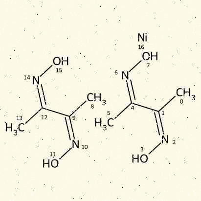 CC(=N/O)/C(C)=N\O.CC(=N/O)/C(C)=N\O.[Ni]